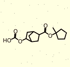 CC1(OC(=O)C2CC3CC2CC3OC(=O)O)CCCC1